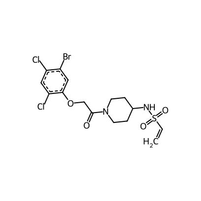 C=CS(=O)(=O)NC1CCN(C(=O)COc2cc(Br)c(Cl)cc2Cl)CC1